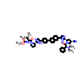 COC(=O)N[C@H](C(=O)N1CCC[C@H]1c1ncc(-c2ccc(-c3ccc4cc(-c5cnc([C@@H]6C[C@H](C#N)CN6C(=O)[C@@H](c6ccccc6)N(C)C)[nH]5)ccc4c3)cc2)[nH]1)C(C)C